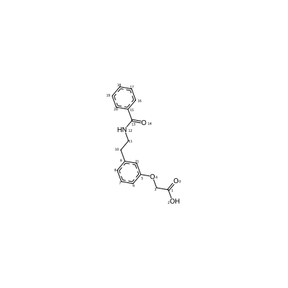 O=C(O)COc1cccc(CCNC(=O)c2ccccc2)c1